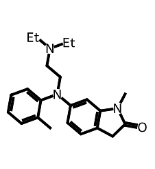 CCN(CC)CCN(c1ccc2c(c1)N(C)C(=O)C2)c1ccccc1C